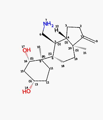 C=C1CC[C@H]2[C@H](CN)[C@@H]([C@@]3(C)CC[C@H](O)C[C@@H]3O)CC[C@]12C